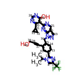 CC(C)n1cc(C(F)(F)F)nc1-c1ccc(Cn2ncc3cnc(-c4c(O)ncnc4C4CC4)nc32)c(C#CCO)c1